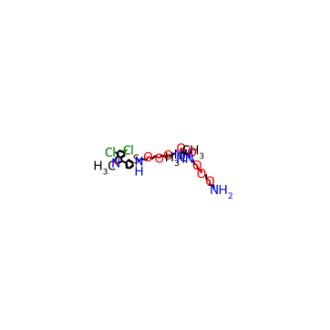 CN1Cc2c(Cl)cc(Cl)cc2C(c2cccc(SNCCOCCOCCOCCNC(=O)C(C)(C)C(=O)NCCOCCOCCOCCN)c2)C1